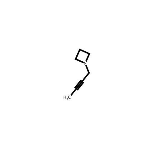 CC#CCN1CCC1